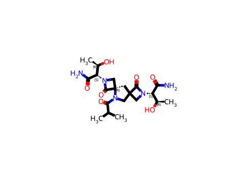 CC(C)C(=O)N1CC2(CN([C@H](C(N)=O)[C@@H](C)O)C2=O)C[C@]12CN([C@H](C(N)=O)[C@@H](C)O)C2=O